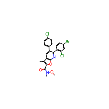 CON(C)C(=O)c1oc2nc(-c3ccc(Br)cc3Cl)c(-c3ccc(Cl)cc3)cc2c1C